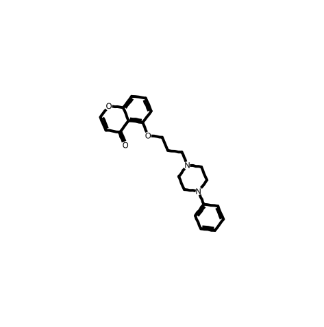 O=c1ccoc2cccc(OCCCN3CCN(c4ccccc4)CC3)c12